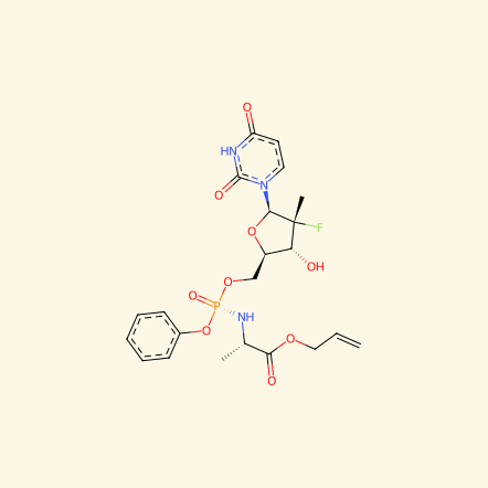 C=CCOC(=O)[C@H](C)N[P@](=O)(OC[C@H]1O[C@@H](n2ccc(=O)[nH]c2=O)[C@](C)(F)[C@@H]1O)Oc1ccccc1